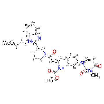 COCCCn1c([C@@H]2CCCN(C(=O)C[C@@H](Cc3ccc(-n4ccc(=O)n(C)c4=O)cc3)NC(=O)OC(C)(C)C)C2)nc2ccccc21